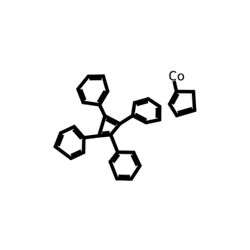 [Co][C]1=CC=CC1.c1ccc(C2=C(c3ccccc3)C(c3ccccc3)=C2c2ccccc2)cc1